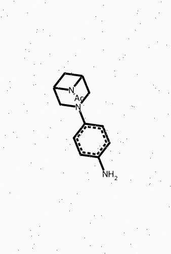 CC(=O)N1C2CC1CN(c1ccc(N)cc1)C2